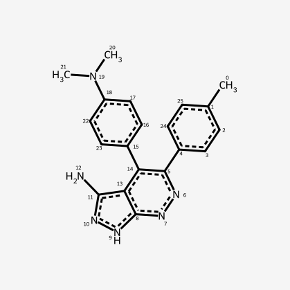 Cc1ccc(-c2nnc3[nH]nc(N)c3c2-c2ccc(N(C)C)cc2)cc1